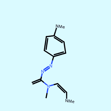 C=C(/N=N/c1ccc(NC)cc1)N(C)/C=C\NC